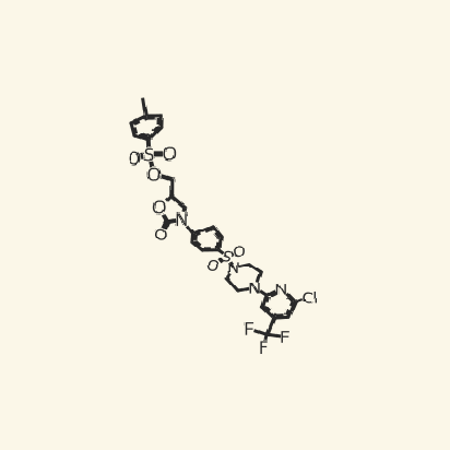 Cc1ccc(S(=O)(=O)OCC2CN(c3ccc(S(=O)(=O)N4CCN(c5cc(C(F)(F)F)cc(Cl)n5)CC4)cc3)C(=O)O2)cc1